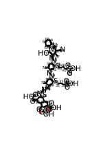 COc1c(S(=O)(=O)O)c(S(=O)(=O)O)cc2c1cc(S(=O)(=O)O)c1nc(N=Nc3cc(SCCCS(=O)(=O)O)c(N=Nc4cc(OCCCS(=O)(=O)O)c(N=Nc5c(C)c(C#N)c6nc7ccccc7n6c5O)cc4C)cc3C)sc12